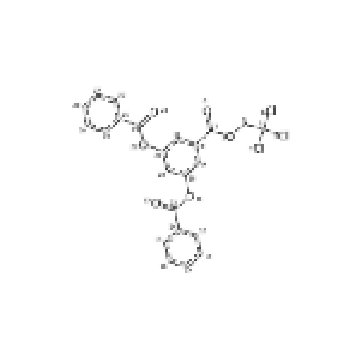 O=C(OCC(Cl)(Cl)Cl)c1cc(OC(=O)c2ccccc2)cc(OC(=O)c2ccccc2)c1